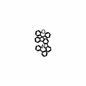 c1ccc(-c2ccccc2-n2c3ccccc3c3ccc4c(c32)-c2ccccc2C42c3ccccc3Oc3ccccc32)cc1